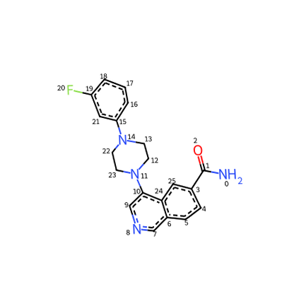 NC(=O)c1ccc2cncc(N3CCN(c4cccc(F)c4)CC3)c2c1